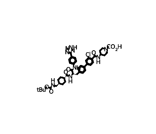 CC(C)(C)OC(=O)NC[C@H]1CC[C@H](C(=O)N[C@@H](Cc2ccc(-c3ccc(C(=O)NC4CCN(C(=O)O)CC4)c(Cl)c3)cc2)C(=O)Nc2ccc(-c3nn[nH]n3)cc2)CC1